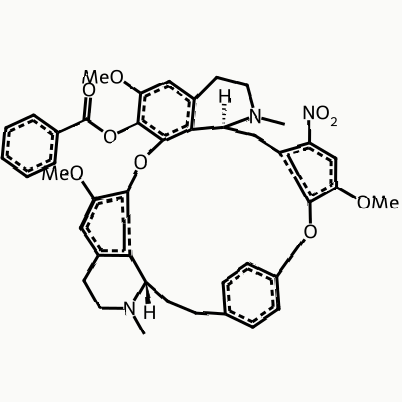 COc1cc([N+](=O)[O-])c2cc1Oc1ccc(cc1)CC[C@H]1c3cc(c(OC)cc3CCN1C)Oc1c(OC(=O)c3ccccc3)c(OC)cc3c1[C@H](C2)N(C)CC3